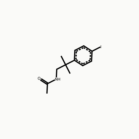 CC(=O)NCC(C)(C)c1ccc(I)cc1